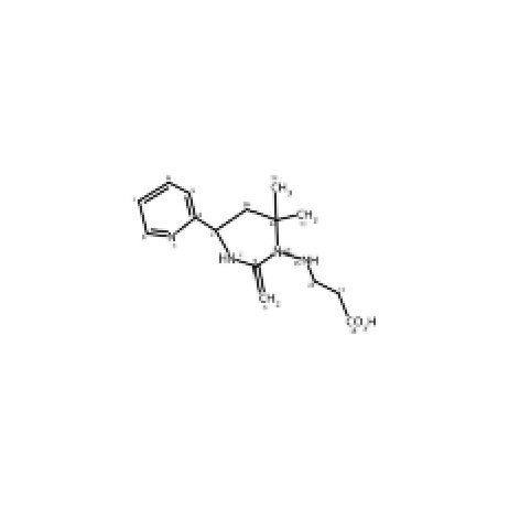 C=C1NC(c2ccccn2)CC(C)(C)N1NCCC(=O)O